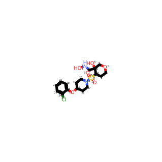 O=C(NO)C1(O)COCCC1S(=O)(=O)N1CCC(Oc2ccccc2Cl)CC1